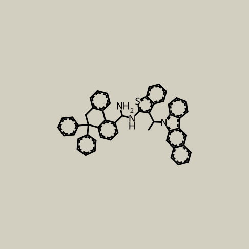 CC(c1c(NC(N)c2cccc3c2-c2ccccc2CC3(c2ccccc2)c2ccccc2)sc2ccccc12)n1c2ccccc2c2cc3ccccc3cc21